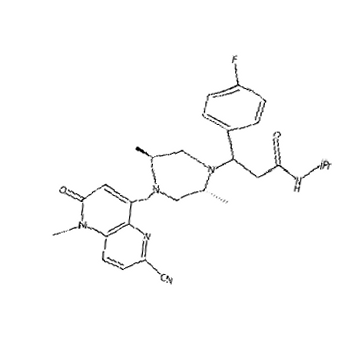 CC(C)NC(=O)CC(c1ccc(F)cc1)N1C[C@H](C)N(c2cc(=O)n(C)c3ccc(C#N)nc23)C[C@H]1C